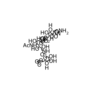 CC(=O)NC1C(O)CC(OP(=O)(O)OCC2OC(n3ccc(N)nc3=O)C(O)C2O)(C(=O)O)OC1[C@H](O)[C@H](O)CNC(=O)C[C@H]1OC(COP(=O)=O)[C@@H](O)[C@H](O)C1O